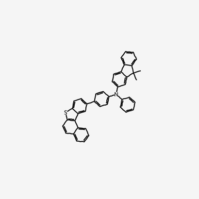 CC1(C)c2ccccc2-c2ccc(N(c3ccccc3)c3ccc(-c4ccc5sc6ccc7ccccc7c6c5c4)cc3)cc21